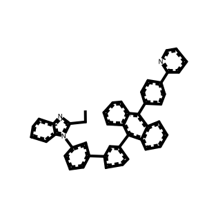 CCc1nc2ccccc2n1-c1cccc(-c2cccc(-c3c4ccccc4c(-c4ccc(-c5ccccn5)cc4)c4ccccc34)c2)c1